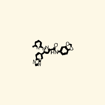 Cc1cccc(-n2nc(C(=O)Nc3ccc4c(c3)OCO4)cc2-c2ccc3ncnn3c2)n1